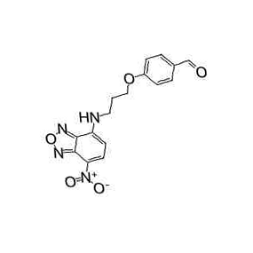 O=Cc1ccc(OCCCNc2ccc([N+](=O)[O-])c3nonc23)cc1